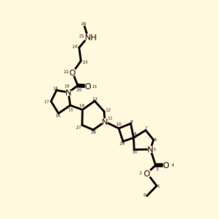 CCOC(=O)N1CCC2(CC(N3CCC(C4CCCN4C(=O)OCCNC)CC3)C2)C1